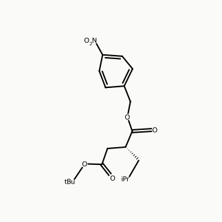 CC(C)C[C@H](CC(=O)OC(C)(C)C)C(=O)OCc1ccc([N+](=O)[O-])cc1